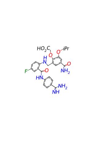 CC(C)Oc1cc(C(N)=O)cc(CNc2ccc(F)cc2C(=O)Nc2ccc(C(=N)N)cc2)c1OCC(=O)O